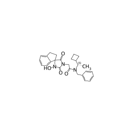 C[C@@H](C1CCC1)N(Cc1ccccc1)C(=O)CN1C(=O)N(O)C2(CCc3ccccc32)C1=O